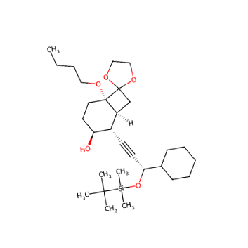 CCCCO[C@@]12CC[C@H](O)[C@@H](C#C[C@@H](O[Si](C)(C)C(C)(C)C)C3CCCCC3)[C@@H]1CC21OCCO1